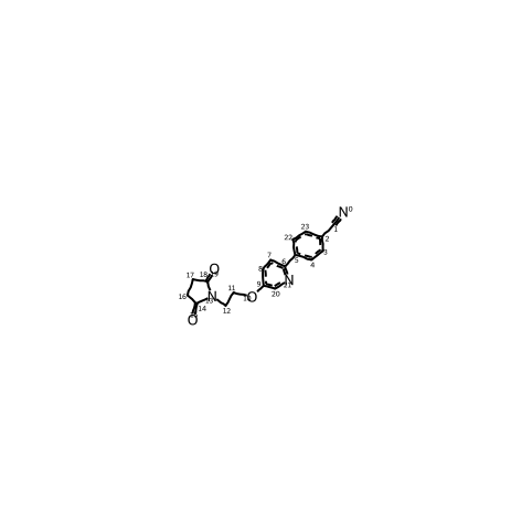 N#Cc1ccc(-c2ccc(OCCN3C(=O)CCC3=O)cn2)cc1